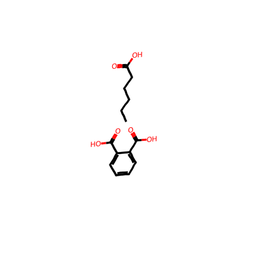 CCCCCC(=O)O.O=C(O)c1ccccc1C(=O)O